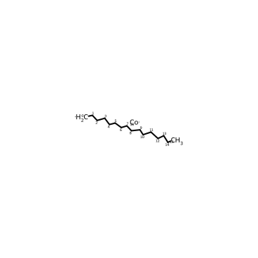 [CH2]CCCCCCCCCCCCCCC.[Co]